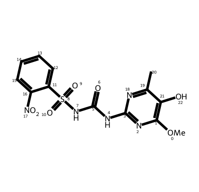 COc1nc(NC(=O)NS(=O)(=O)c2ccccc2[N+](=O)[O-])nc(C)c1O